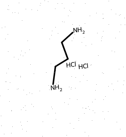 Cl.Cl.NCCCN